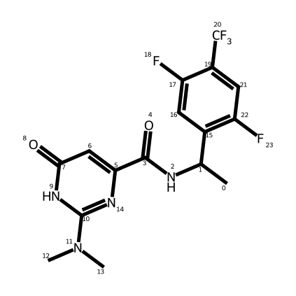 CC(NC(=O)c1cc(=O)[nH]c(N(C)C)n1)c1cc(F)c(C(F)(F)F)cc1F